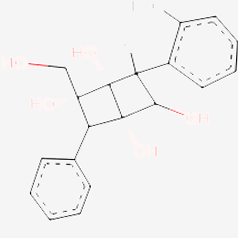 Cc1ccccc1C1(C)C(O)[C@@]2(O)C(c3ccccc3)[C@@](O)(CO)[C@@]12O